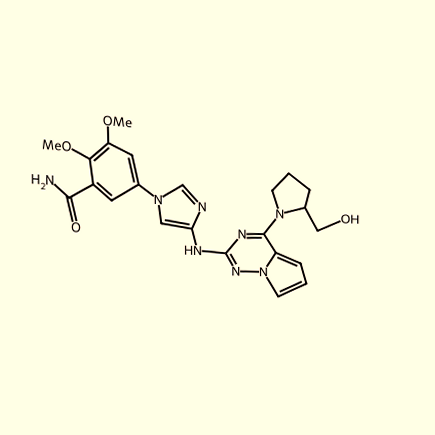 COc1cc(-n2cnc(Nc3nc(N4CCCC4CO)c4cccn4n3)c2)cc(C(N)=O)c1OC